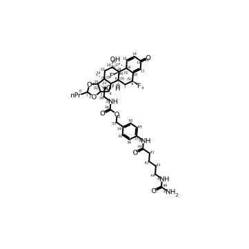 CCCC1OC2CC3[C@@H]4C[C@H](F)C5=CC(=O)C=C[C@]5(C)[C@@]4(F)[C@@H](O)C[C@]3(C)[C@]2(C(=O)CNC(=O)OCc2ccc(NC(=O)CCCCNC(N)=O)cc2)O1